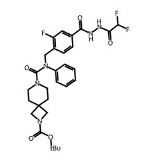 CC(C)(C)OC(=O)N1CC2(CCN(C(=O)N(Cc3ccc(C(=O)NNC(=O)C(F)F)cc3F)c3ccccc3)CC2)C1